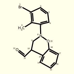 Cc1c(Br)cccc1N1CC(C=O)c2ccccc2O1